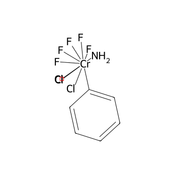 [NH2][Cr]([F])([F])([F])([F])([F])([Cl])([Cl])([Cl])[c]1ccccc1